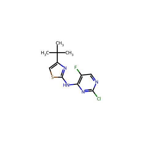 CC(C)(C)c1csc(Nc2nc(Cl)ncc2F)n1